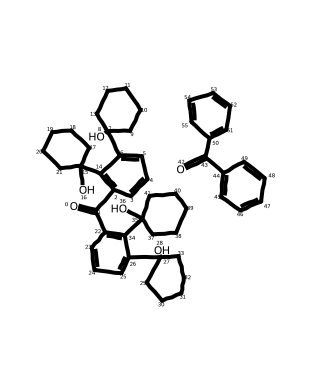 O=C(c1cccc(C2(O)CCCCC2)c1C1(O)CCCCC1)c1cccc(C2(O)CCCCC2)c1C1(O)CCCCC1.O=C(c1ccccc1)c1ccccc1